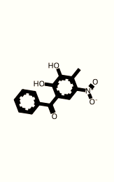 Cc1c([N+](=O)[O-])cc(C(=O)c2ccccc2)c(O)c1O